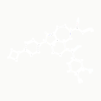 C=CC(=O)N1CCc2nn(-c3ccc(C4CCC4)cc3)c3c2C(C1)N(C(=O)c1cnc(C(F)(F)F)c(O)c1)CC3